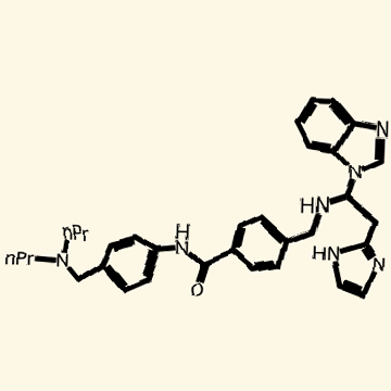 CCCN(CCC)Cc1ccc(NC(=O)c2ccc(CNC(Cc3ncc[nH]3)n3cnc4ccccc43)cc2)cc1